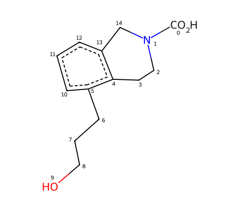 O=C(O)N1CCc2c(CCCO)cccc2C1